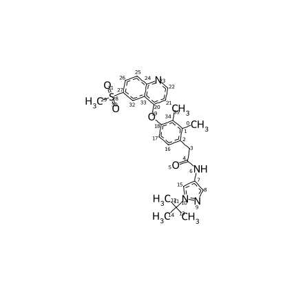 Cc1c(CC(=O)Nc2cnn(C(C)(C)C)c2)ccc(Oc2ccnc3ccc(S(C)(=O)=O)cc23)c1C